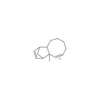 CC12/C=C\CCCCC1C1C=CC2C1